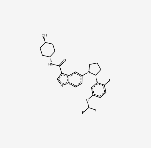 O=C(N[C@H]1CC[C@H](O)CC1)c1cnn2ccc(N3CCC[C@@H]3c3cc(OC(F)F)ccc3F)cc12